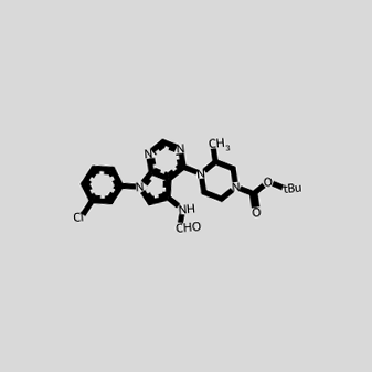 CC1CN(C(=O)OC(C)(C)C)CCN1c1ncnc2c1c(NC=O)cn2-c1cccc(Cl)c1